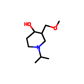 COCC1CN(C(C)C)CCC1O